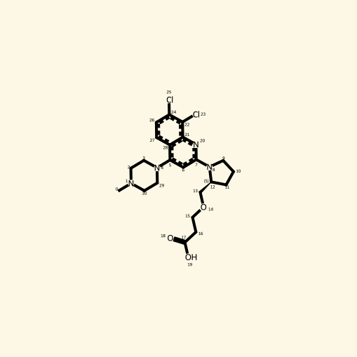 CN1CCN(c2cc(N3CCC[C@H]3COCCC(=O)O)nc3c(Cl)c(Cl)ccc23)CC1